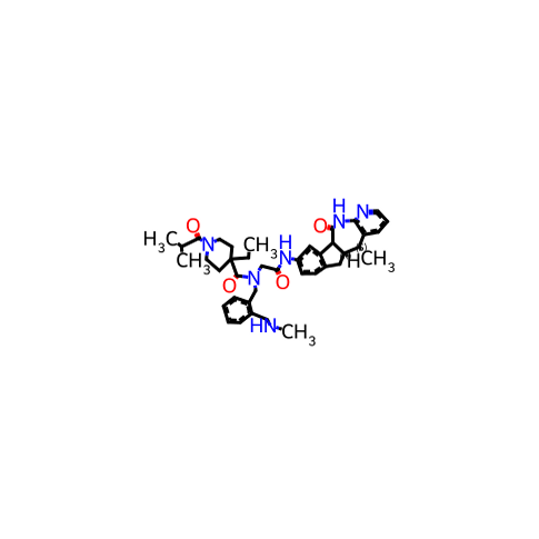 CCC1(C(=O)N(CC(=O)Nc2ccc3c(c2)C2C(=O)Nc4ncccc4[C@@H](C)[C@H]2C3)Cc2ccccc2CNC)CCN(C(=O)C(C)C)CC1